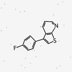 Fc1ccc(-c2csc3ncc[c]c23)cc1